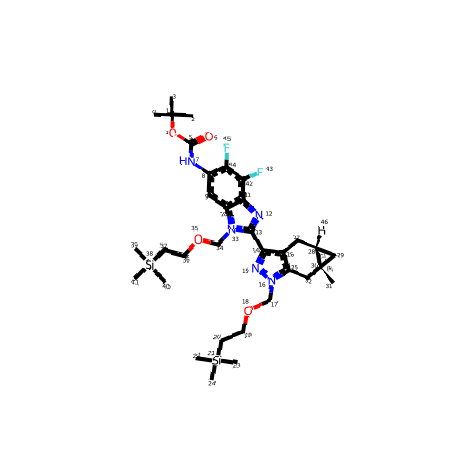 CC(C)(C)OC(=O)Nc1cc2c(nc(-c3nn(COCC[Si](C)(C)C)c4c3C[C@@H]3C[C@]3(C)C4)n2COCC[Si](C)(C)C)c(F)c1F